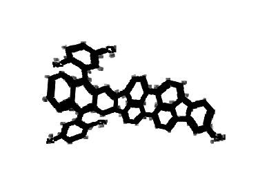 CC(C)(C)c1ccc2c(c1)-c1ccc3c4ccc5c6c(ccc(c7ccc-2c1c73)c64)-c1cc2c(-c3cc(C#N)ccc3C#N)c3ccccc3c(-c3cc(C#N)ccc3C#N)c2cc1-5